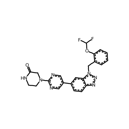 O=C1CN(c2ncc(-c3ccc4nnn(Cc5ccccc5OC(F)F)c4c3)cn2)CCN1